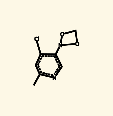 Cc1cc(Cl)c(N2OCO2)cn1